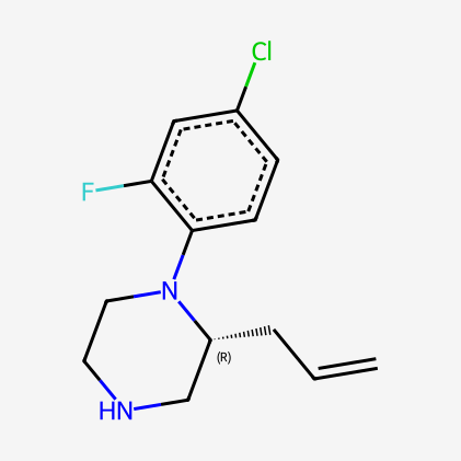 C=CC[C@@H]1CNCCN1c1ccc(Cl)cc1F